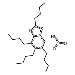 CCCCc1nc2c(CCCC)c(CCCC)c(CCCC)cc2s1.N=S(=O)=O